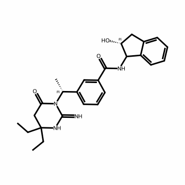 CCC1(CC)CC(=O)N([C@H](C)c2cccc(C(=O)NC3c4ccccc4C[C@H]3O)c2)C(=N)N1